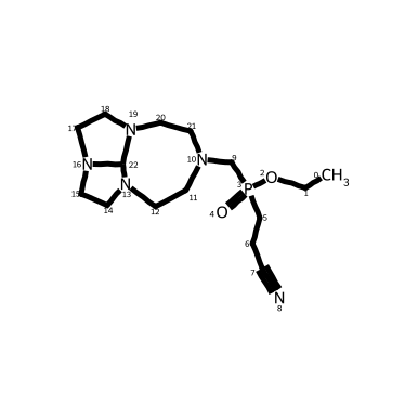 CCOP(=O)(CCC#N)CN1CCN2CCN3CCN(CC1)C23